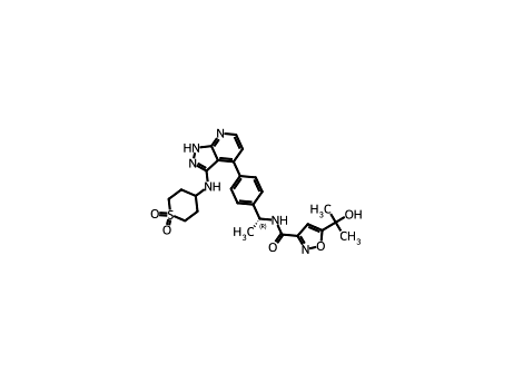 C[C@@H](NC(=O)c1cc(C(C)(C)O)on1)c1ccc(-c2ccnc3[nH]nc(NC4CCS(=O)(=O)CC4)c23)cc1